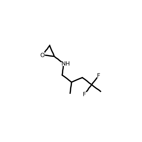 CC(CNC1CO1)CC(C)(F)F